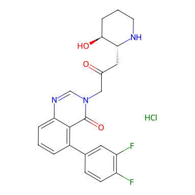 Cl.O=C(C[C@H]1NCCC[C@@H]1O)Cn1cnc2cccc(-c3ccc(F)c(F)c3)c2c1=O